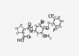 Bc1cc(NC(=O)C2=C(C(=O)O)CCC2)cc(Br)c1OCc1c(F)cccc1Cl